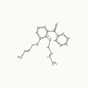 C/C=C/COc1cccc(C(=O)c2ccccc2)c1OC/C=C/C